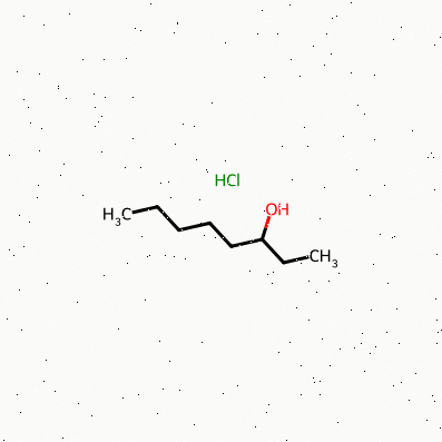 CCCCCC(O)CC.Cl